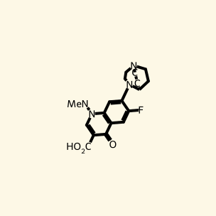 CNn1cc(C(=O)O)c(=O)c2cc(F)c(N3CCN4CCC3CC4)cc21